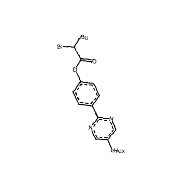 CCCCCCc1cnc(-c2ccc(OC(=O)C(Br)C(C)CC)cc2)nc1